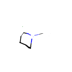 Cl.O=C(O)N1CCC1